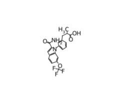 CC(Cc1cccc(-n2c(C(N)=O)cc3ccc(OC(F)(F)F)cc32)c1)C(=O)O